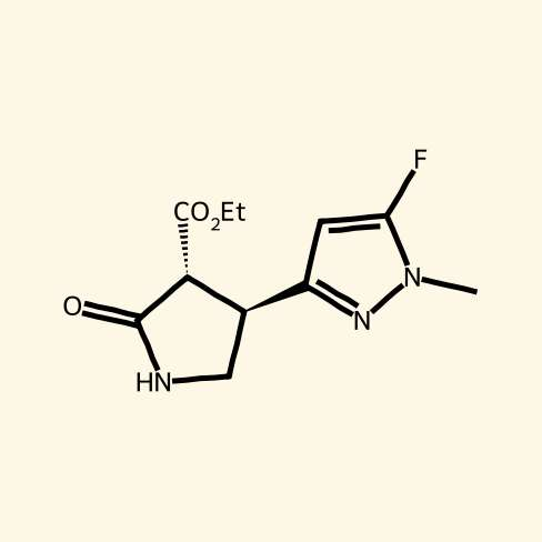 CCOC(=O)[C@H]1C(=O)NC[C@@H]1c1cc(F)n(C)n1